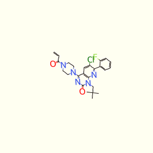 C=CC(=O)N1CCN(c2nc(=O)n(CC(C)(C)C)c3nc(-c4ccccc4F)c(Cl)cc23)CC1